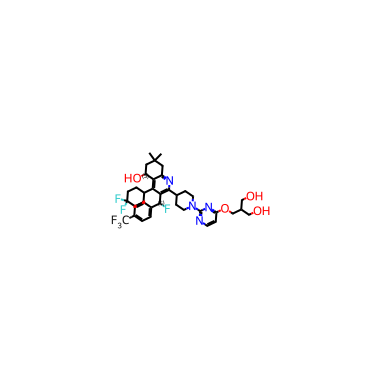 CC1(C)Cc2nc(C3CCN(c4nccc(OCC(CO)CO)n4)CC3)c([C@@H](F)c3ccc(C(F)(F)F)cc3)c(C3CCC(F)(F)CC3)c2[C@@H](O)C1